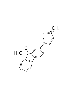 C[n+]1ccc(-c2ccc3c(c2)C(C)(C)c2cnccc2-3)cc1